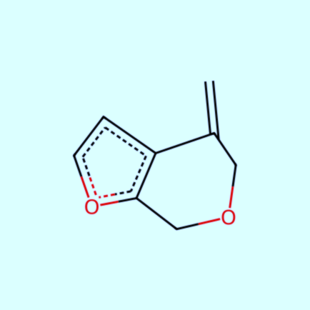 C=C1COCc2occc21